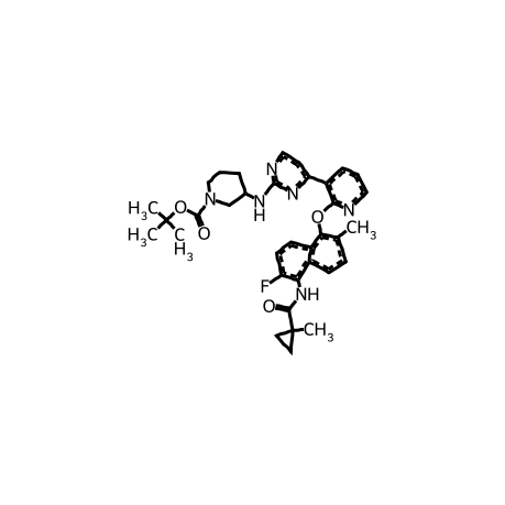 Cc1ccc2c(NC(=O)C3(C)CC3)c(F)ccc2c1Oc1ncccc1-c1ccnc(NC2CCCN(C(=O)OC(C)(C)C)C2)n1